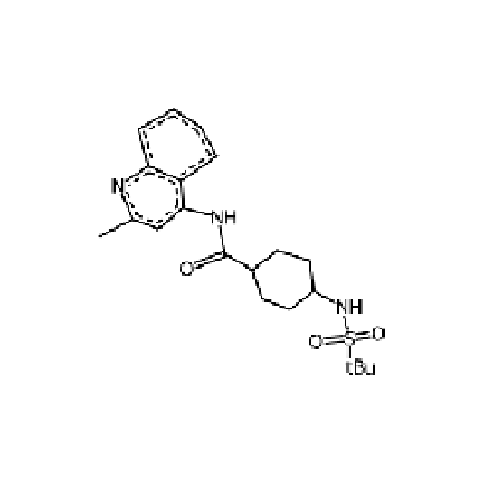 Cc1cc(NC(=O)C2CCC(NS(=O)(=O)C(C)(C)C)CC2)c2ccccc2n1